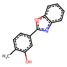 Cc1ccc(-c2nc3ccccc3o2)cc1O